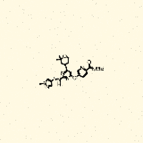 CNC(=O)c1ccc(Oc2cc(C3CCOC(C)(C)C3)nc(NSc3cnn(C)c3)n2)cn1